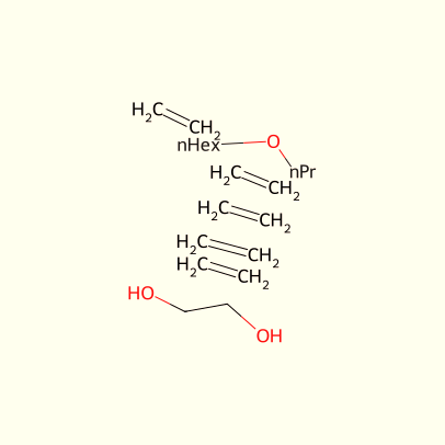 C=C.C=C.C=C.C=C.C=C.CCCCCCOCCC.OCCO